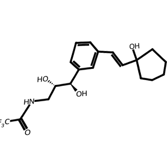 O=C(NC[C@H](O)[C@H](O)c1cccc(C=CC2(O)CCCCC2)c1)C(F)(F)F